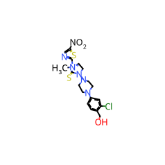 C[N+]1(c2ncc([N+](=O)[O-])s2)CCN(N2CCN(c3ccc(CO)c(Cl)c3)CC2)C1=S